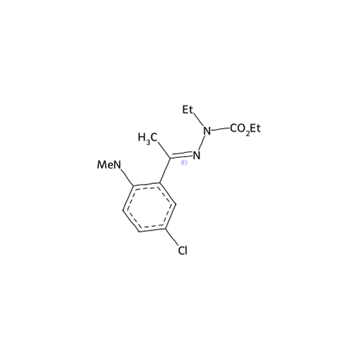 CCOC(=O)N(CC)/N=C(\C)c1cc(Cl)ccc1NC